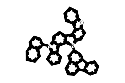 c1ccc2c(c1)-c1cccc3cc(-n4c5ccc6oc7ccccc7c6c5c5ccc6c(c7ccccc7n6-c6cccc7ccccc67)c54)cc-2c13